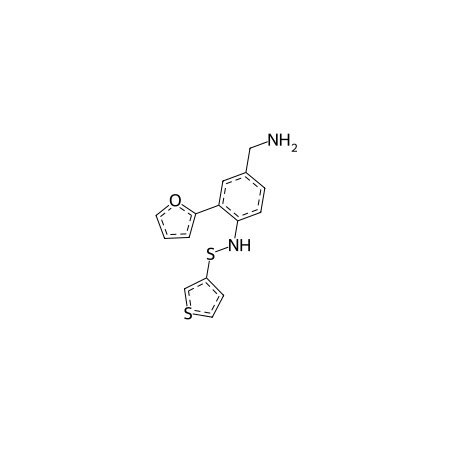 NCc1ccc(NSc2ccsc2)c(-c2ccco2)c1